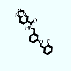 O=C(NCc1cccc(OCc2ccccc2F)c1)c1ccc2nncn2c1